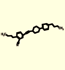 CCCCc1ccc(C2CCC(C#Cc3ccc(CCCC)c(C#N)c3)CC2)cc1